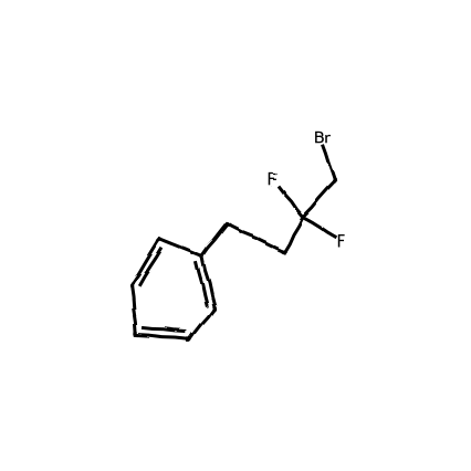 FC(F)(CBr)CCc1ccccc1